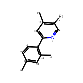 CCc1cnc(-c2ccc(C)cc2C)cc1C